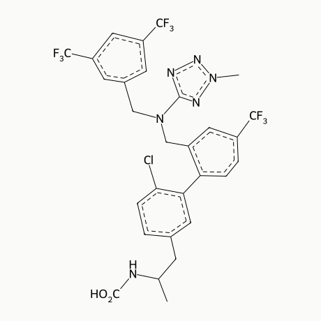 CC(Cc1ccc(Cl)c(-c2ccc(C(F)(F)F)cc2CN(Cc2cc(C(F)(F)F)cc(C(F)(F)F)c2)c2nnn(C)n2)c1)NC(=O)O